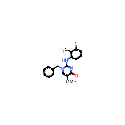 COc1cn(Cc2ccccc2)c(Nc2cccc(Cl)c2C)nc1=O